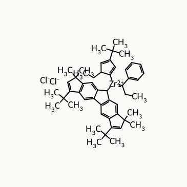 CC/[C](c1ccccc1)=[Zr+2](/[C]1=CC(C(C)(C)C)=CC1CC)[CH]1c2cc3c(cc2-c2cc4c(cc21)C(C)(C)C=C4C(C)(C)C)C(C(C)(C)C)=CC3(C)C.[Cl-].[Cl-]